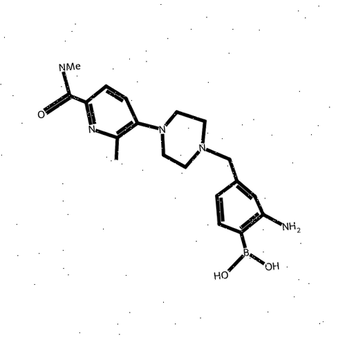 CNC(=O)c1ccc(N2CCN(Cc3ccc(B(O)O)c(N)c3)CC2)c(C)n1